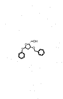 OC[C@H]1OC(Sc2ccccc2)C[C@@H]1OCc1ccccc1